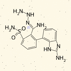 NN/N=C(\N)c1c(-c2cccc3nc(N)[nH]c23)cccc1S(N)(=O)=O